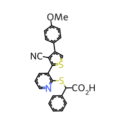 COc1ccc(-c2csc(-c3cccnc3SC(C(=O)O)c3ccccc3)c2C#N)cc1